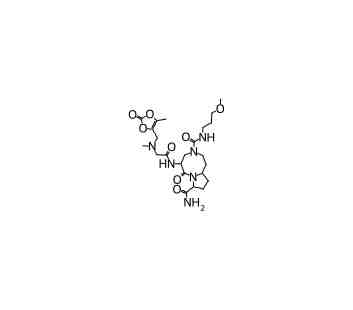 COCCCNC(=O)N1CCC2CCC(C(N)=O)N2C(=O)C(NC(=O)CN(C)Cc2oc(=O)oc2C)C1